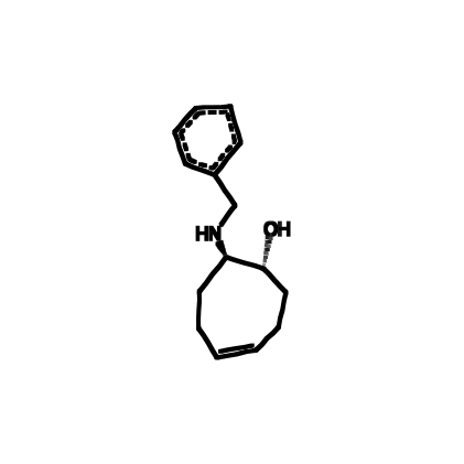 O[C@@H]1CCC=CCC[C@H]1NCc1ccccc1